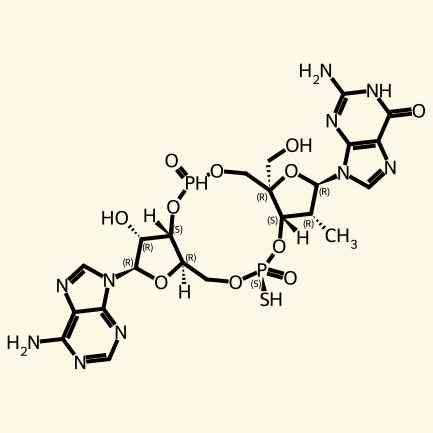 C[C@H]1[C@H](n2cnc3c(=O)[nH]c(N)nc32)O[C@]2(CO)CO[PH](=O)O[C@H]3[C@@H](O)[C@H](n4cnc5c(N)ncnc54)O[C@@H]3CO[P@](=O)(S)O[C@@H]12